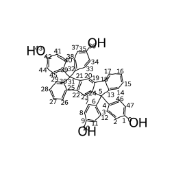 Oc1ccc(C2(c3ccc(O)cc3)c3ccccc3-c3cc4c(cc32)-c2ccccc2C4(c2ccc(O)cc2)c2ccc(O)cc2)cc1